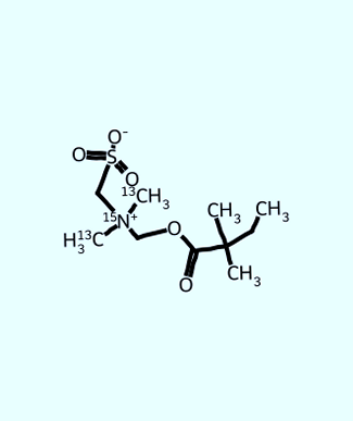 CCC(C)(C)C(=O)OC[15N+]([13CH3])([13CH3])CS(=O)(=O)[O-]